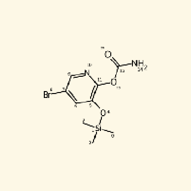 C[Si](C)(C)Oc1cc(Br)cnc1OC(N)=O